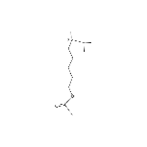 CC(=O)OCCCCC[C@H](C)C(C)(C)C